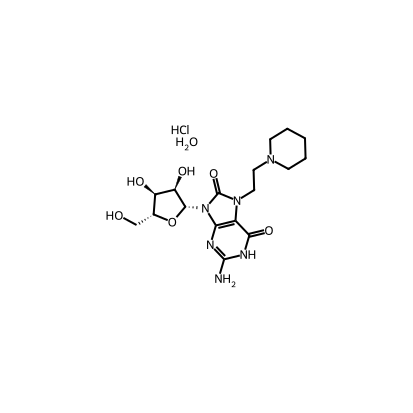 Cl.Nc1nc2c(c(=O)[nH]1)n(CCN1CCCCC1)c(=O)n2[C@@H]1O[C@H](CO)[C@@H](O)[C@H]1O.O